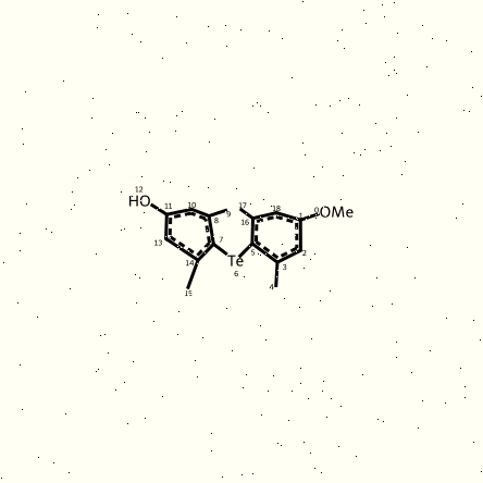 COc1cc(C)c([Te]c2c(C)cc(O)cc2C)c(C)c1